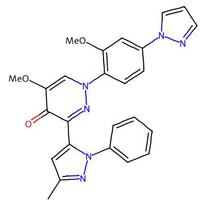 COc1cc(-n2cccn2)ccc1-n1cc(OC)c(=O)c(-c2cc(C)nn2-c2ccccc2)n1